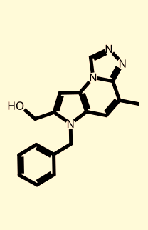 Cc1cc2c(cc(CO)n2Cc2ccccc2)n2cnnc12